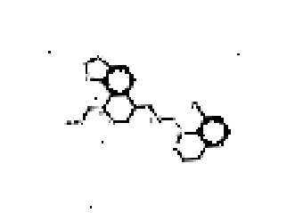 CNC[C@@H]1OCC(CNC[C@H]2OCCc3cccc(Cl)c32)c2ccc3c(c21)OCO3